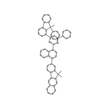 CC1(C)c2cc(-c3ccc(-c4nc(-c5ccccc5)cc(-c5cccc6c5C(C)(c5ccccc5)c5ccccc5-6)n4)c4ccccc34)ccc2-c2cc3ccccc3cc21